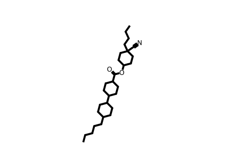 CCCCCC1CCC(C2CCC(C(=O)OC3CCC(C#N)(CCCC)CC3)CC2)CC1